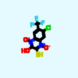 [O-][n+]1c(O)c(S)[n+]([O-])c2cc(Cl)c(C(F)(F)F)cc21